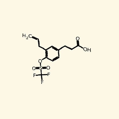 C=CCc1cc(CCC(=O)O)ccc1OS(=O)(=O)C(F)(F)F